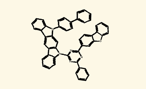 c1ccc(-c2ccc(-n3c4ccccc4c4cc5c6ccccc6n(-c6nc(-c7ccccc7)nc(-c7ccc8c(c7)oc7ccccc78)n6)c5cc43)cc2)cc1